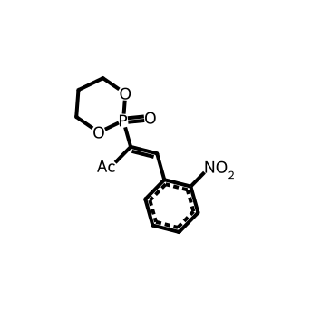 CC(=O)/C(=C\c1ccccc1[N+](=O)[O-])P1(=O)OCCCO1